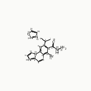 CC(C)c1nc2c(ccc3nccn32)c(Br)c1C(=O)NN.c1conn1